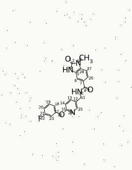 Cn1c(=O)[nH]c2cc(C(=O)NCc3ccc(Oc4cccc(F)c4)nc3)ccc21